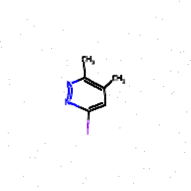 Cc1cc(I)nnc1C